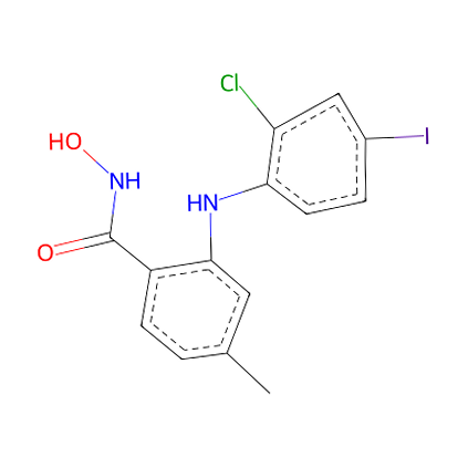 Cc1ccc(C(=O)NO)c(Nc2ccc(I)cc2Cl)c1